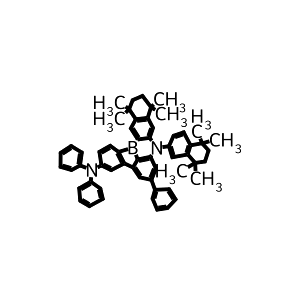 CC1(C)CCC(C)(C)c2cc(N3c4cc5c(cc4B4c6ccc(N(c7ccccc7)c7ccccc7)cc6-c6cc(-c7ccccc7)cc3c64)C(C)(C)CCC5(C)C)ccc21